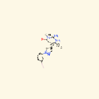 CN1C(=N)N[C@](C)(c2cnn(-c3cccc(I)c3)c2)CC1=O